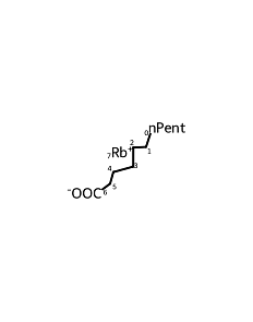 CCCCCCCCCCC(=O)[O-].[Rb+]